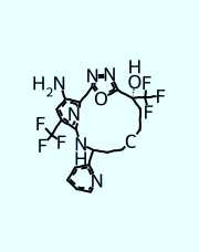 Nc1cc(C(F)(F)F)c2nc1-c1nnc(o1)[C@@](O)(C(F)(F)F)CCCCCC(c1ccccn1)N2